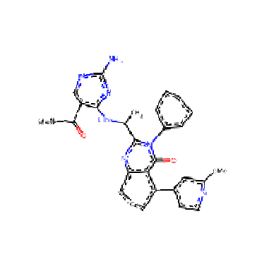 CNC(=O)c1cnc(N)nc1NC(C)c1nc2cccc(-c3ccnc(OC)c3)c2c(=O)n1-c1ccccc1